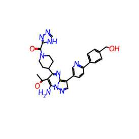 CC(=O)c1c(C2CCN(C(=O)c3nnc[nH]3)CC2)nc2c(-c3ccc(-c4ccc(CO)cc4)nc3)cnn2c1N